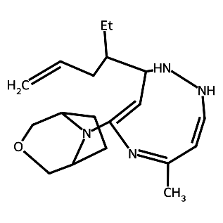 C=CCC(CC)C1/C=C(N2C3CCC2COC3)/N=C(C)\C=C/NN1